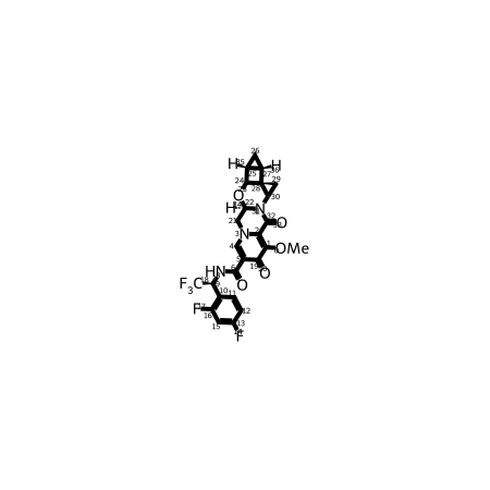 COc1c2n(cc(C(=O)N[C@@H](c3ccc(F)cc3F)C(F)(F)F)c1=O)C[C@H]1OC3[C@@H]4C[C@@H]4[C@@]34CC4N1C2=O